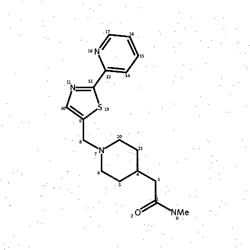 CNC(=O)CC1CCN(Cc2cnc(-c3ccccn3)s2)CC1